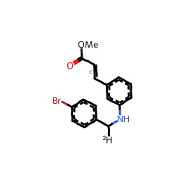 [2H]C(Nc1cccc(/C=C/C(=O)OC)c1)c1ccc(Br)cc1